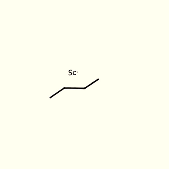 CCCC.[Sc]